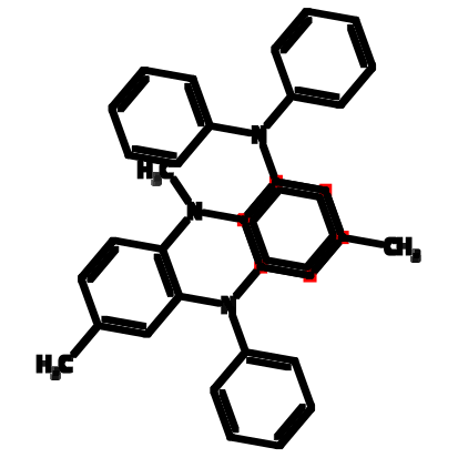 Cc1ccc(N(C)c2ccc(C)cc2N(c2ccccc2)c2ccccc2)c(N(c2ccccc2)c2ccccc2)c1